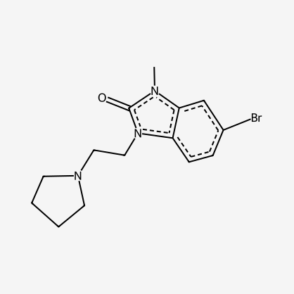 Cn1c(=O)n(CCN2CCCC2)c2ccc(Br)cc21